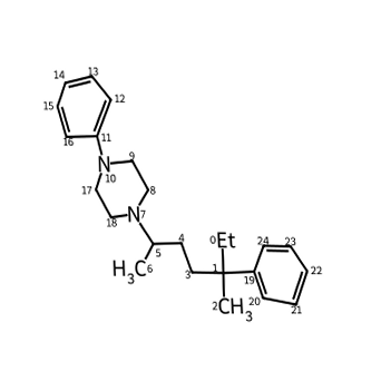 CCC(C)(CCC(C)N1CCN(c2ccccc2)CC1)c1ccccc1